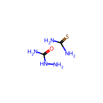 NC(N)=S.NNC(N)=O